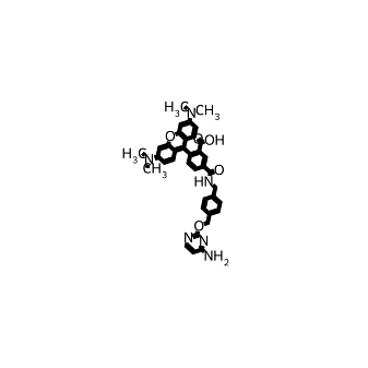 CN(C)c1ccc2c(-c3ccc(C(=O)NCc4ccc(COc5nccc(N)n5)cc4)cc3C(=O)O)c3ccc(=[N+](C)C)cc-3oc2c1